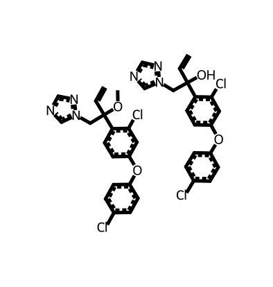 C=CC(Cn1cncn1)(OC)c1ccc(Oc2ccc(Cl)cc2)cc1Cl.C=CC(O)(Cn1cncn1)c1ccc(Oc2ccc(Cl)cc2)cc1Cl